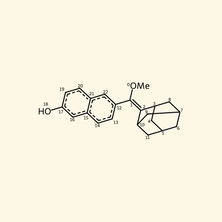 COC(=C1C2CC3CC(C2)CC1C3)c1ccc2cc(O)ccc2c1